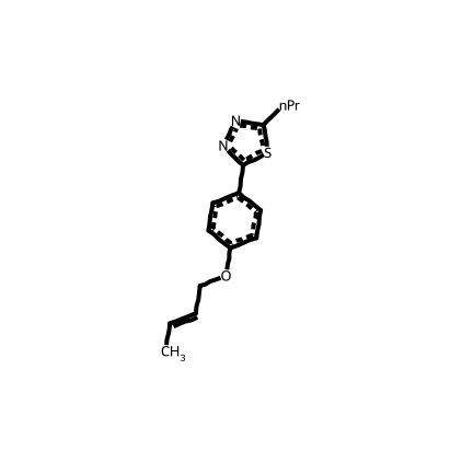 CC=CCOc1ccc(-c2nnc(CCC)s2)cc1